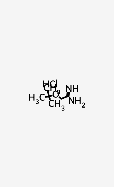 CC(C)(C)OCC(=N)N.Cl